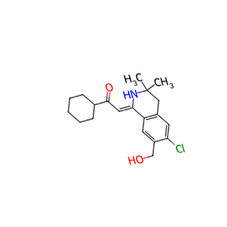 CC1(C)Cc2cc(Cl)c(CO)cc2/C(=C/C(=O)C2CCCCC2)N1